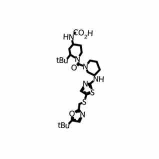 CC(C)(C)c1cnc(CSc2cnc(NC3CCCN(C(=O)N4CCC(NC(=O)O)CC4C(C)(C)C)C3)s2)o1